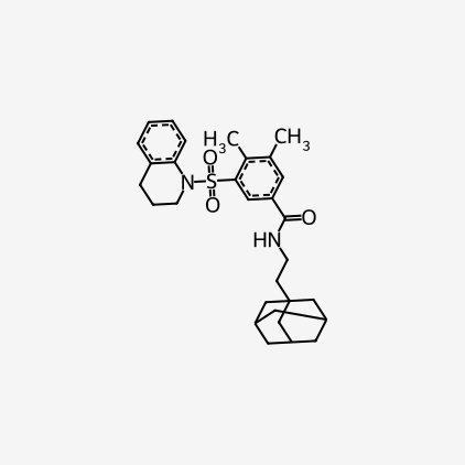 Cc1cc(C(=O)NCCC23CC4CC(CC(C4)C2)C3)cc(S(=O)(=O)N2CCCc3ccccc32)c1C